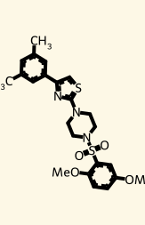 COc1ccc(OC)c(S(=O)(=O)N2CCN(c3nc(-c4cc(C)cc(C)c4)cs3)CC2)c1